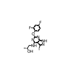 C[C@H](O)CNc1nc(Oc2ccc(F)cc2F)nc2[nH]nc(I)c12